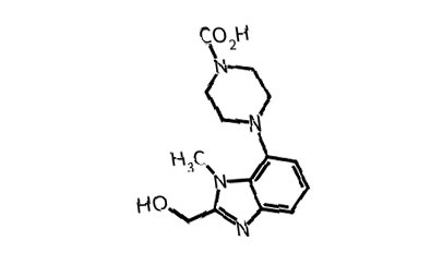 Cn1c(CO)nc2cccc(N3CCN(C(=O)O)CC3)c21